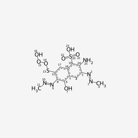 CN=Nc1cc2c(O)c(N=NC)c(SOOO)cc2c(S(=O)(=O)O)c1N